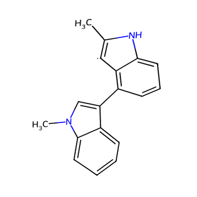 Cc1[c]c2c(-c3cn(C)c4ccccc34)cccc2[nH]1